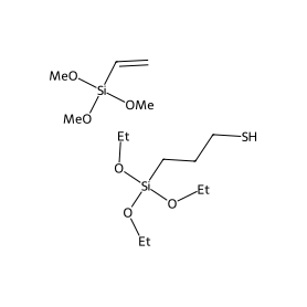 C=C[Si](OC)(OC)OC.CCO[Si](CCCS)(OCC)OCC